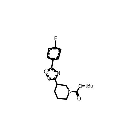 CC(C)(C)OC(=O)N1CCCC(c2noc(-c3ccc(F)cc3)n2)C1